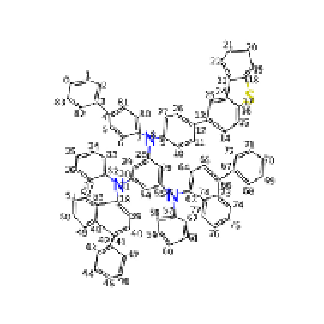 c1ccc(-c2ccc(N(c3ccc(-c4ccc5sc6ccccc6c5c4)cc3)c3cc(N(c4ccccc4)c4ccc(-c5ccccc5)c5ccccc45)cc(N(c4ccccc4)c4ccc(-c5ccccc5)c5ccccc45)c3)cc2)cc1